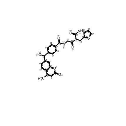 Cc1cc(=O)oc2cc(C(O)c3ccc(C(=O)NCC(=O)N(Cc4cccs4)C(N)=O)cc3)ccc12